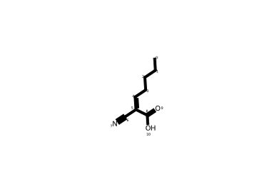 CCCCC=C(C#N)C(=O)O